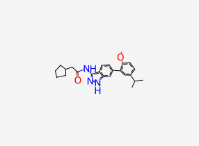 COc1ccc(C(C)C)cc1-c1ccc2c(NC(=O)CC3CCCC3)n[nH]c2c1